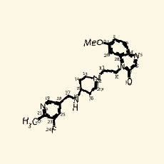 COc1ccc2ncc(=O)n(CCN3CCC(NCc4cnc(C)c(F)c4)CC3)c2c1